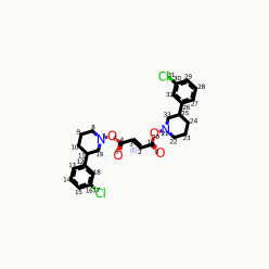 O=C(/C=C/C(=O)ON1CCCC(c2cccc(Cl)c2)C1)ON1CCCC(c2cccc(Cl)c2)C1